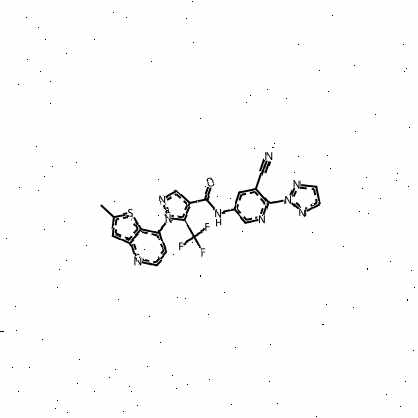 Cc1cc2nccc(-n3ncc(C(=O)Nc4cnc(-n5nccn5)c(C#N)c4)c3C(F)(F)F)c2s1